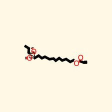 C=CC(=O)OCCCCCCCCCCCC[Si](CCC)(OC)OC